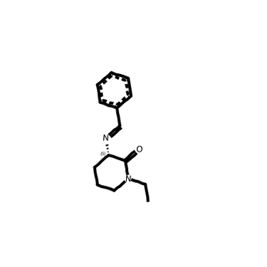 CCN1CCC[C@H](N=Cc2ccccc2)C1=O